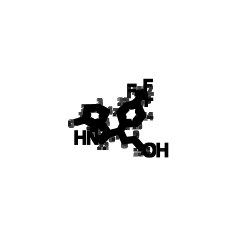 Cc1cccc2c(C(CCCO)c3ccc(C(F)(F)F)cc3)c[nH]c12